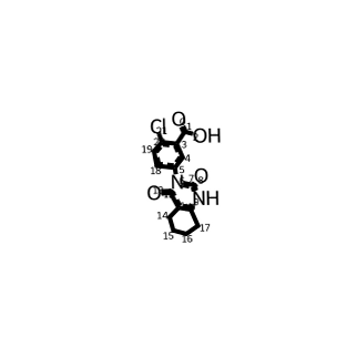 O=C(O)c1cc(-n2c(=O)[nH]c3c(c2=O)CCCC3)ccc1Cl